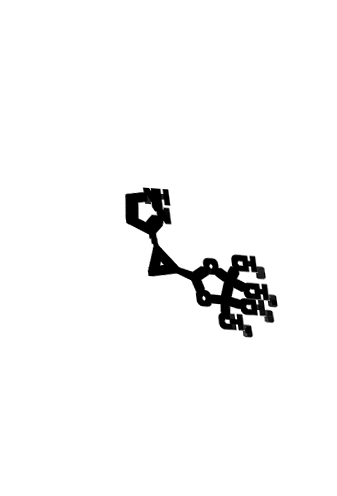 CC1(C)OC([C@H]2C[C@@H]2c2cc[nH]n2)OC1(C)C